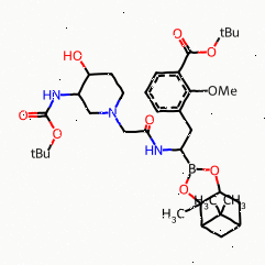 COc1c(CC(NC(=O)CN2CCC(O)C(NC(=O)OC(C)(C)C)C2)B2OC3CC4CC(C4(C)C)C3(C)O2)cccc1C(=O)OC(C)(C)C